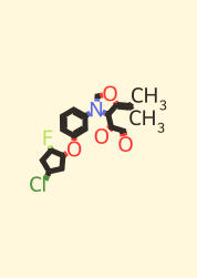 CC(C)=C1OCN(c2cccc(OC3CC(Cl)CC3F)c2)C1C(=O)C=O